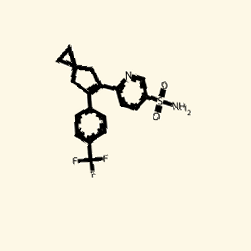 NS(=O)(=O)c1ccc(C2=C(c3ccc(C(F)(F)F)cc3)CC3(CC3)C2)nc1